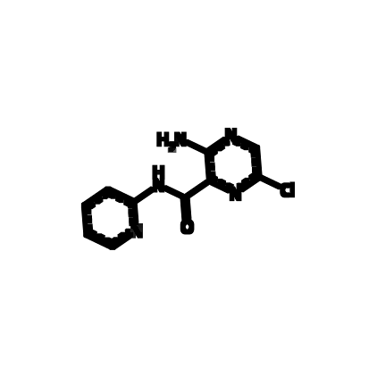 Nc1ncc(Cl)nc1C(=O)Nc1ccccn1